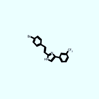 FC(F)(F)c1cccc(-c2c[nH]c(C=Cc3ccc(Br)cc3)n2)c1